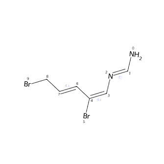 N/C=N/C=C(Br)\C=C\CBr